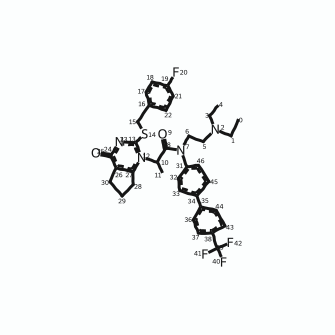 CCN(CC)CCN(C(=O)C(C)n1c(SCc2ccc(F)cc2)nc(=O)c2c1CCC2)c1ccc(-c2ccc(C(F)(F)F)cc2)cc1